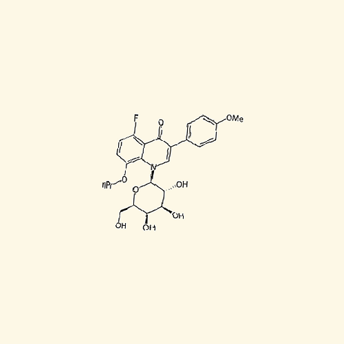 CCCOc1ccc(F)c2c(=O)c(-c3ccc(OC)cc3)cn([C@@H]3O[C@H](CO)[C@H](O)[C@H](O)[C@H]3O)c12